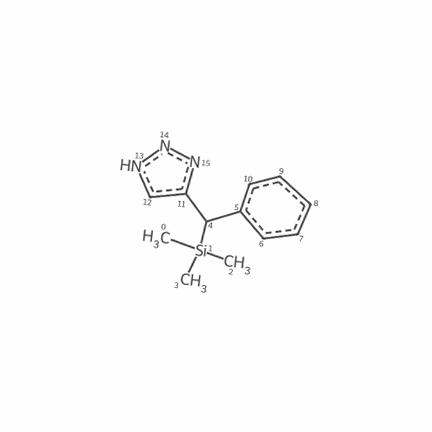 C[Si](C)(C)C(c1ccccc1)c1c[nH]nn1